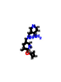 Cc1cc(CN/C=C2/C=NC=CC2N)cnc1OC1CCC1